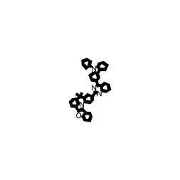 CC1(C)c2cc(-c3nc(-c4ccc5c(c4)c4ccccc4n5-c4ccccc4)c4ccccc4n3)ccc2-n2c3c1cccc3c1oc3ccccc3c12